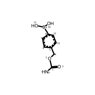 [NH]C(=O)OCc1ccc(B(O)O)cc1